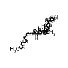 CC/C=C\C/C=C\C/C=C\C/C=C\C/C=C\CCCC(=O)NC1CCC(NC(=O)C(C)(C)Oc2ccc(C(=O)c3ccc(Cl)cc3)cc2)CC1